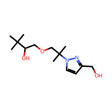 CC(C)(C)C(O)COCC(C)(C)n1ccc(CO)n1